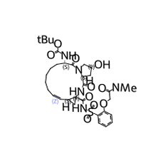 CNC(=O)COc1ccccc1S(=O)(=O)NC(=O)[C@@]12C[C@H]1/C=C\CCCCC[C@H](NC(=O)OC(C)(C)C)C(=O)N1C[C@H](O)C[C@H]1C(=O)N2